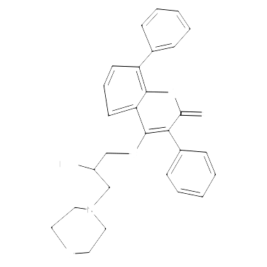 CC(COc1c(-c2ccccc2)c(=O)oc2c(-c3ccccc3)cccc12)CN1CCOCC1